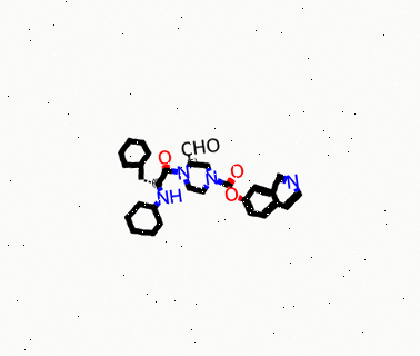 O=C[C@@H]1CN(C(=O)Oc2ccc3ccncc3c2)CCN1C(=O)[C@@H](CC1CCCCC1)NC1CCCCC1